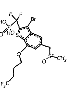 C[S+]([O-])Cc1cc(OCCCC(F)(F)F)c2sc(C(F)(F)P(=O)(O)O)c(Br)c2c1